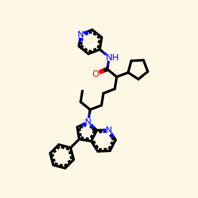 CCC(CCCC(C(=O)Nc1ccncc1)C1CCCC1)n1cc(-c2ccccc2)c2cccnc21